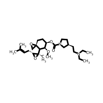 CCN(CC)CC[C@@H]1CCN(C(=O)O[C@@H]2CC[C@]3(CO3)C([C@@]3(C)O[C@@H]3CC=C(C)C)[C@@H]2OC)C1